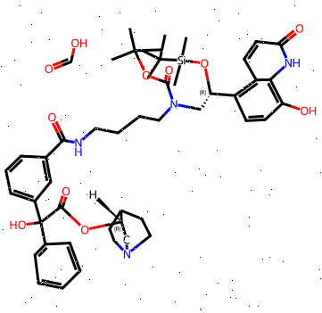 CC(C)(C)OC(=O)N(CCCCNC(=O)c1cccc(C(O)(C(=O)O[C@H]2CN3CCC2CC3)c2ccccc2)c1)C[C@H](O[Si](C)(C)C(C)(C)C)c1ccc(O)c2[nH]c(=O)ccc12.O=CO